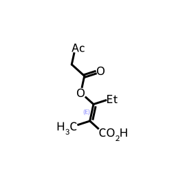 CC/C(OC(=O)CC(C)=O)=C(/C)C(=O)O